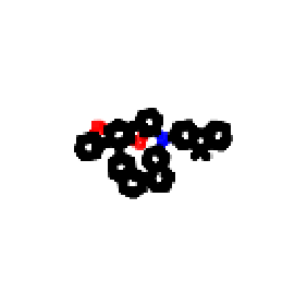 CC1(C)c2ccccc2-c2ccc(N(c3ccc4ccccc4c3)c3cccc4c3oc3c(-c5ccc6ccccc6c5)c5c(cc34)oc3ccccc35)cc21